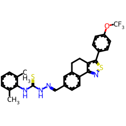 Cc1cccc(C)c1NC(=S)NN=Cc1ccc2c(c1)CCc1c-2nsc1-c1ccc(OC(F)(F)F)cc1